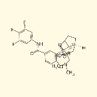 CN(C)C[C@]1(O)CC2CC[C@@H](C1)[C@H]2S(=O)(=O)c1cc(C(=O)Nc2cc(F)c(F)c(F)c2)ccc1Cl